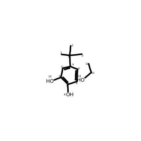 CC(C)(C)c1ccc(O)c(O)c1.CCO